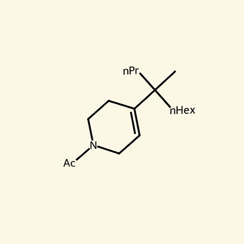 CCCCCCC(C)(CCC)C1=CCN(C(C)=O)CC1